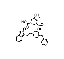 CC1=CC(C(=O)O)CC(C(=O)O)C1.O=C1N=c2ccccc2=C1CCN1CCN(Cc2ccccc2)CC1